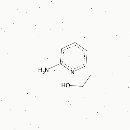 CCO.Nc1ccccn1